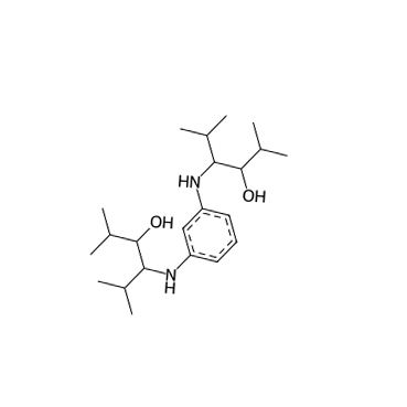 CC(C)C(O)C(Nc1cccc(NC(C(C)C)C(O)C(C)C)c1)C(C)C